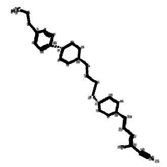 CCCc1ccc([C@H]2CC[C@H](CCCC[C@H]3CC[C@H](CCC=C(F)C#N)CC3)CC2)cc1